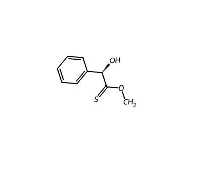 COC(=S)[C@H](O)c1ccccc1